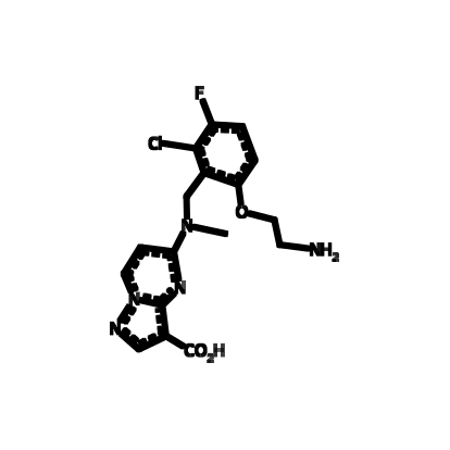 CN(Cc1c(OCCN)ccc(F)c1Cl)c1ccn2ncc(C(=O)O)c2n1